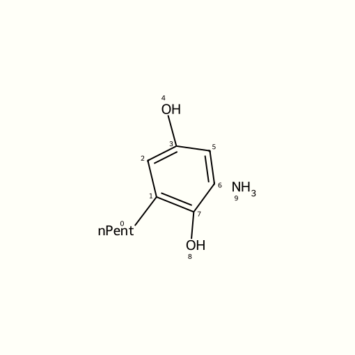 CCCCCc1cc(O)ccc1O.N